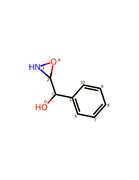 OC([C]1NO1)c1ccccc1